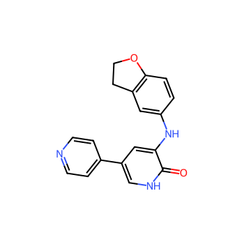 O=c1[nH]cc(-c2ccncc2)cc1Nc1ccc2c(c1)CCO2